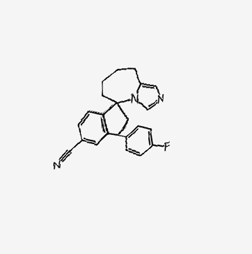 CCC1(c2ccc(C#N)cc2-c2ccc(F)cc2)CCCCc2cncn21